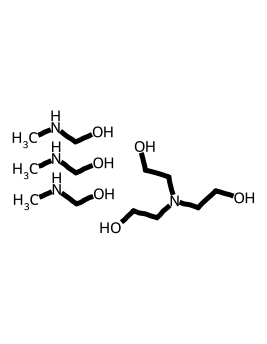 CNCO.CNCO.CNCO.OCCN(CCO)CCO